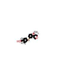 COC1(c2cccc(Sc3ccc(C(C)(C)O)cc3)c2)CCOCC1